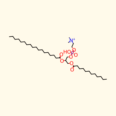 CCCCCCCCCCCCCCCCCC(=O)OC(COC(=O)CCCCCCCCCCC)COP(=O)(O)OCC[N+](C)(C)C